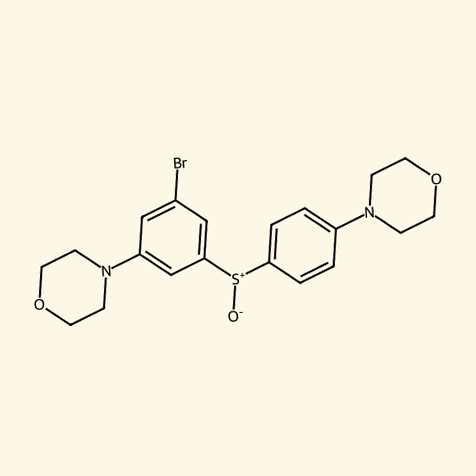 [O-][S+](c1ccc(N2CCOCC2)cc1)c1cc(Br)cc(N2CCOCC2)c1